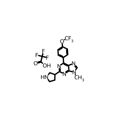 Cn1cnc2c(-c3ccc(OC(F)(F)F)cc3)nc(C3CCNC3)nc21.O=C(O)C(F)(F)F